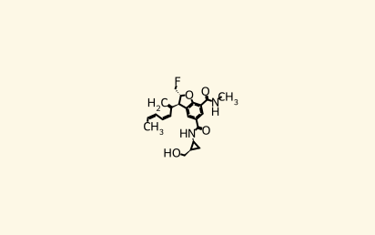 C=C(/C=C\C=C/C)[C@@H]1c2cc(C(=O)N[C@@H]3C[C@H]3CO)cc(C(=O)NC)c2O[C@H]1CF